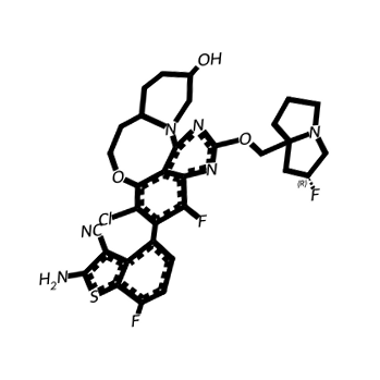 N#Cc1c(N)sc2c(F)ccc(-c3c(Cl)c4c5c(nc(OCC67CCCN6C[C@H](F)C7)nc5c3F)N3CC(O)CCC3CCO4)c12